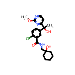 COc1nccc(C(C)(O)c2ccc(Cl)c(C(=O)NCC3(O)CCCCC3)c2)n1